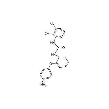 Nc1ccc(Oc2ccccc2NC(=O)Nc2cccc(Cl)c2Cl)cc1